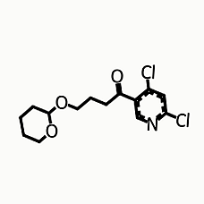 O=C(CCCOC1CCCCO1)c1cnc(Cl)cc1Cl